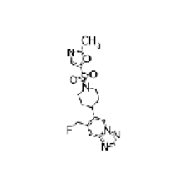 Cc1ncc(S(=O)(=O)N2CCC(c3cn4ncnc4cc3CF)CC2)o1